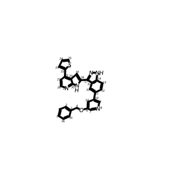 c1ccc(COc2cncc(-c3ccc4[nH]nc(-c5cc6c(-c7cccs7)ccnc6[nH]5)c4c3)c2)cc1